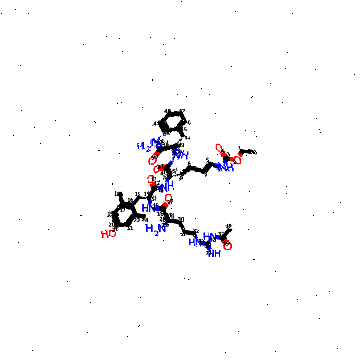 CCOC(=O)NCCCC[C@H](NC(=O)[C@H](Cc1c(C)cc(O)cc1C)NC(=O)[C@H](N)CCCNC(=N)NC(C)=O)C(=O)N[C@@H](Cc1ccccc1)C(N)=O